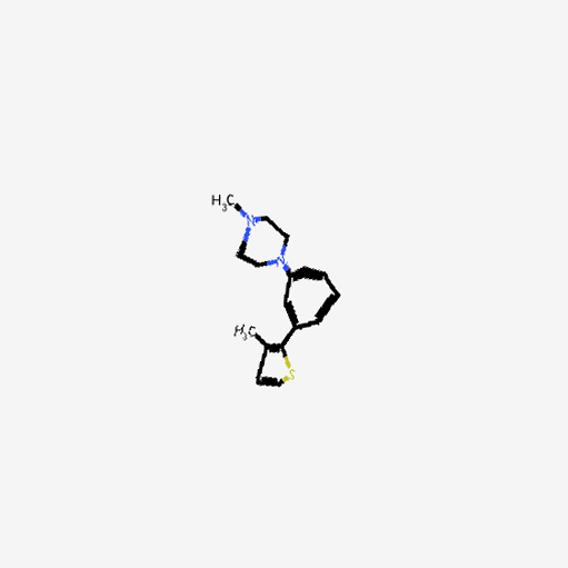 Cc1ccsc1-c1[c]ccc(N2CCN(C)CC2)c1